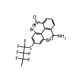 NC(=O)c1cccc([N+](=O)[O-])c1-c1c(Br)cc(SC(F)(F)C(F)(F)C(F)(F)F)cc1Br